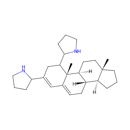 C[C@@]12CCC[C@H]1[C@@H]1CC=C3C=C(C4CCCN4)CC(C4CCCN4)[C@]3(C)[C@H]1CC2